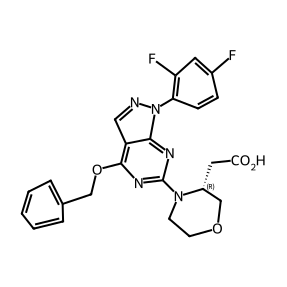 O=C(O)C[C@@H]1COCCN1c1nc(OCc2ccccc2)c2cnn(-c3ccc(F)cc3F)c2n1